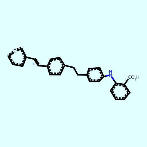 O=C(O)c1ccccc1Nc1ccc(CCc2ccc(/C=C/c3ccccc3)cc2)cc1